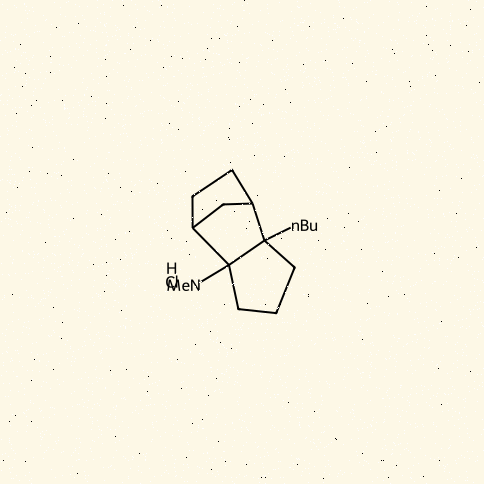 CCCCC12CCCC1(NC)C1CCC2C1.Cl